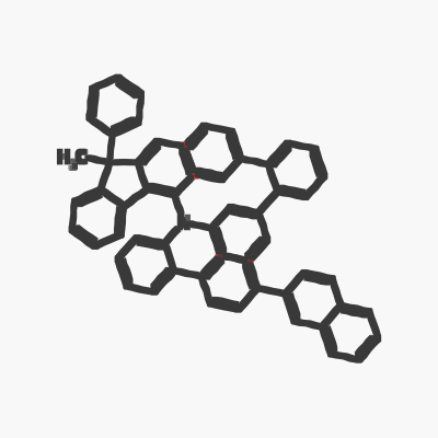 CC1(c2ccccc2)c2ccccc2-c2c(N(c3cccc(-c4ccccc4-c4ccccc4)c3)c3ccccc3-c3ccc(-c4ccc5ccccc5c4)cc3)cccc21